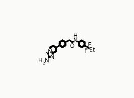 CCC(F)(F)c1ccc(NC(=O)Cc2ccc(-c3ccn4nc(N)nc4c3)cc2)cc1